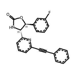 O=C1N[C@@H](c2cccc(C#Cc3ccccc3)n2)[C@H](c2cccc(F)c2)O1